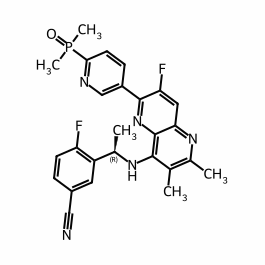 Cc1nc2cc(F)c(-c3ccc(P(C)(C)=O)nc3)nc2c(N[C@H](C)c2cc(C#N)ccc2F)c1C